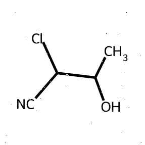 CC(O)C(Cl)C#N